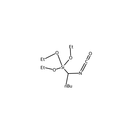 CCCCC(N=C=O)[Si](OCC)(OCC)OCC